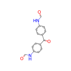 O=CNc1ccc(C(=O)c2ccc(NC=O)cc2)cc1